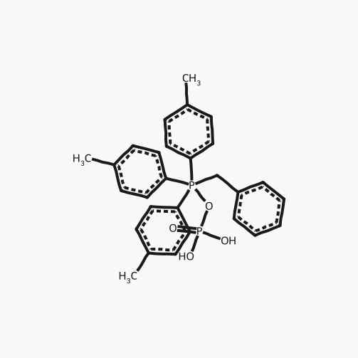 Cc1ccc(P(Cc2ccccc2)(OP(=O)(O)O)(c2ccc(C)cc2)c2ccc(C)cc2)cc1